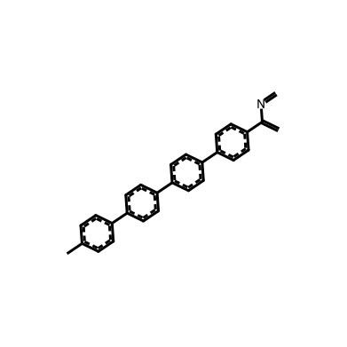 C=NC(=C)c1ccc(-c2ccc(-c3ccc(-c4ccc(C)cc4)cc3)cc2)cc1